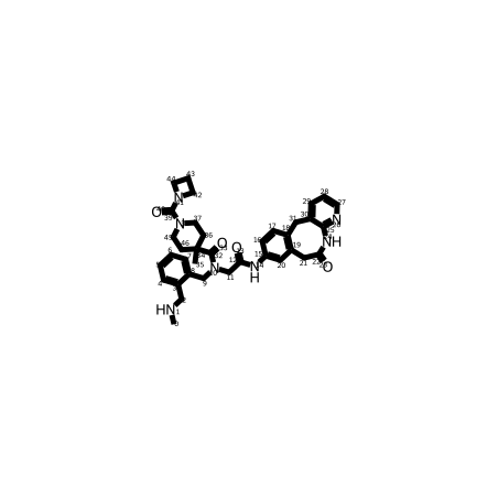 CNCc1ccccc1CN(CC(=O)Nc1ccc2c(c1)CC(=O)Nc1ncccc1C2)C(=O)C1(C)CCN(C(=O)N2CCC2)CC1